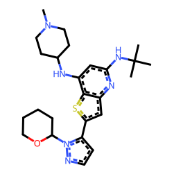 CN1CCC(Nc2cc(NC(C)(C)C)nc3cc(-c4ccnn4C4CCCCO4)sc23)CC1